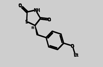 CCOc1ccc(C[C@H]2SC(=O)NC2=O)cc1